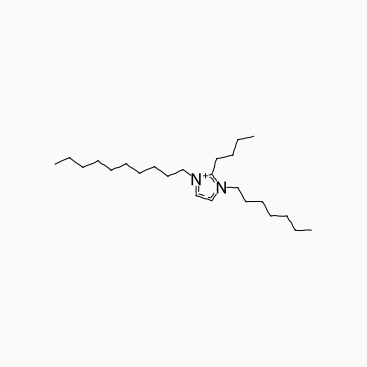 CCCCCCCCCC[n+]1ccn(CCCCCCC)c1CCCC